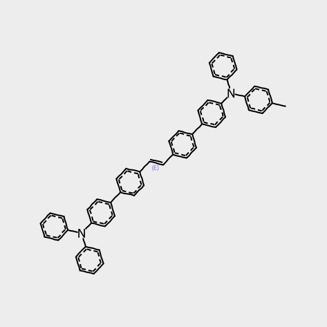 Cc1ccc(N(c2ccccc2)c2ccc(-c3ccc(/C=C/c4ccc(-c5ccc(N(c6ccccc6)c6ccccc6)cc5)cc4)cc3)cc2)cc1